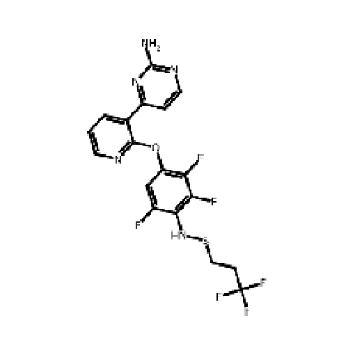 Nc1nccc(-c2cccnc2Oc2cc(F)c(NSCCC(F)(F)F)c(F)c2F)n1